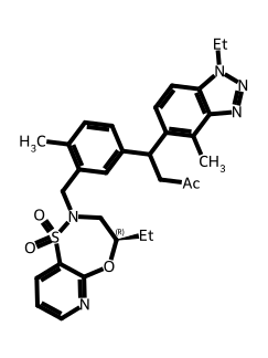 CC[C@@H]1CN(Cc2cc(C(CC(C)=O)c3ccc4c(nnn4CC)c3C)ccc2C)S(=O)(=O)c2cccnc2O1